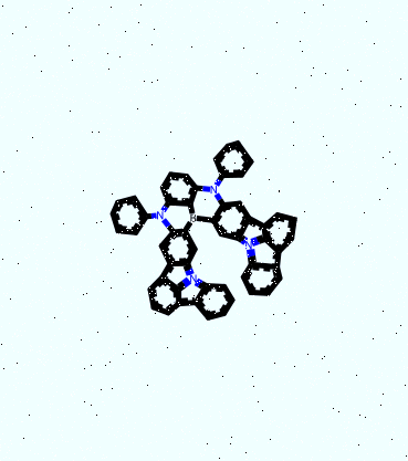 c1ccc(N2c3cc4c5cccc6c7ccccc7n(c4cc3B3c4cc7c(cc4N(c4ccccc4)c4cccc2c43)c2cccc3c4ccccc4n7c32)c65)cc1